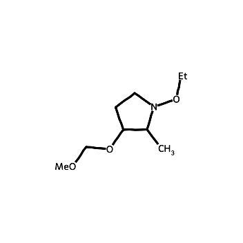 CCON1CCC(OCOC)C1C